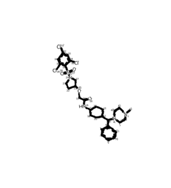 CN1CCN(C(c2ccccc2)C2CCC(NC(=O)COC3CCN(S(=O)(=O)c4c(Cl)cc(Cl)cc4Cl)C3)CC2)CC1